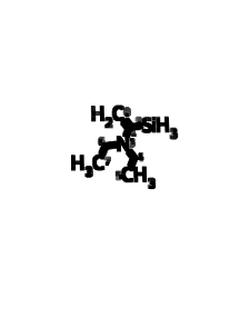 C=C([SiH3])N(CC)CC